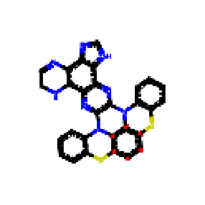 C1=Nc2c(c3nc(N4c5ccccc5Sc5ccccc54)c(N4c5ccccc5Sc5ccccc54)nc3c3[nH]cnc23)NC1